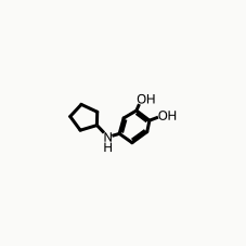 Oc1ccc(NC2CCCC2)cc1O